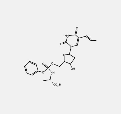 C/C=C/c1cn(C2CC(O)C(COP(=O)(N[C@@H](C)C(=O)OCC)Oc3ccccc3)O2)c(=O)[nH]c1=O